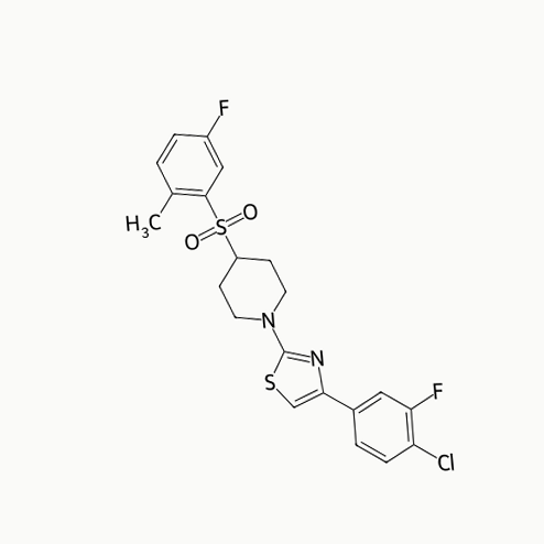 Cc1ccc(F)cc1S(=O)(=O)C1CCN(c2nc(-c3ccc(Cl)c(F)c3)cs2)CC1